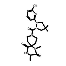 CC1NC(=O)C2(CCN(C(=O)N3CC(C)(C)CN3c3ccnc(C#N)n3)CC2)N(C)C1=O